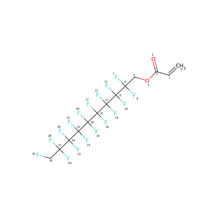 C=CC(=O)OCC(F)(F)C(F)(F)C(F)(F)C(F)(F)C(F)(F)C(F)(F)C(F)(F)C(F)(F)CF